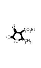 CCOC(=O)C1C(=O)C(=O)OC1C